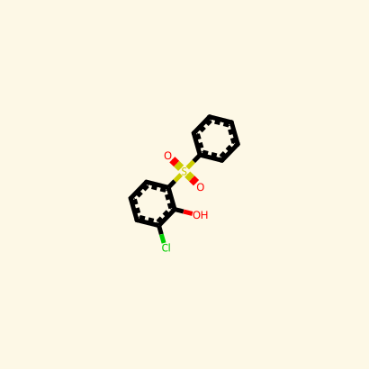 O=S(=O)(c1ccccc1)c1cccc(Cl)c1O